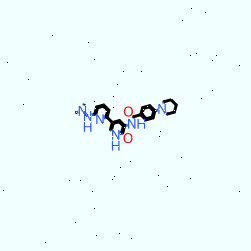 CN(C)Nc1cccc(-c2c[nH]c(=O)c(NC(=O)c3ccc(N4CCCCC4)cc3)c2)n1